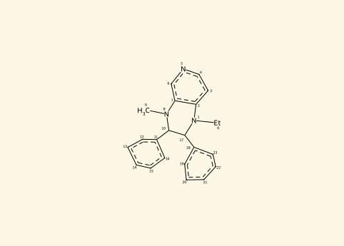 CCN1c2ccncc2N(C)C(c2ccccc2)C1c1ccccc1